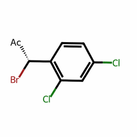 CC(=O)[C@@H](Br)c1ccc(Cl)cc1Cl